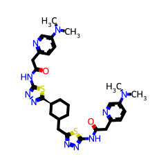 CN(C)c1ccc(CC(=O)Nc2nnc(CC3CCC[C@H](c4nnc(NC(=O)Cc5ccc(N(C)C)cn5)s4)C3)s2)nc1